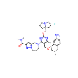 C[C@@H]1Cc2ccc(N)cc2[C@@]2(Cc3nc(OC[C@@]45CCCN4C[C@H](F)C5)nc(N4CCCn5nc(C(=O)N(C)C)cc5C4)c3CO2)C1